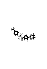 CC1(C)OB(c2ccc(NC(=O)Nc3ccc(C(=O)I)cc3)c(F)c2F)OC1(C)C